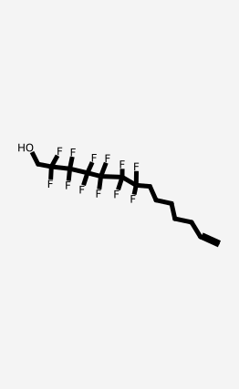 C=CCCCCCC(F)(F)C(F)(F)C(F)(F)C(F)(F)C(F)(F)C(F)(F)CO